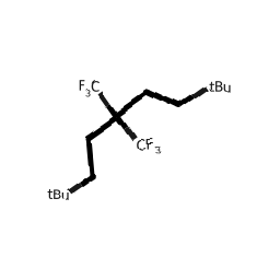 CC(C)(C)CCC(CCC(C)(C)C)(C(F)(F)F)C(F)(F)F